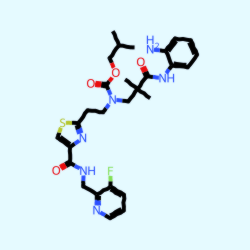 CC(C)COC(=O)N(CCc1nc(C(=O)NCc2ncccc2F)cs1)CC(C)(C)C(=O)Nc1ccccc1N